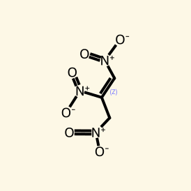 O=[N+]([O-])/C=C(/C[N+](=O)[O-])[N+](=O)[O-]